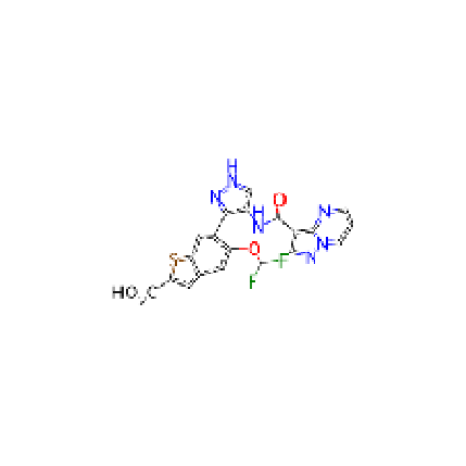 O=C(O)c1cc2cc(OC(F)F)c(-c3n[nH]cc3NC(=O)c3cnn4cccnc34)cc2s1